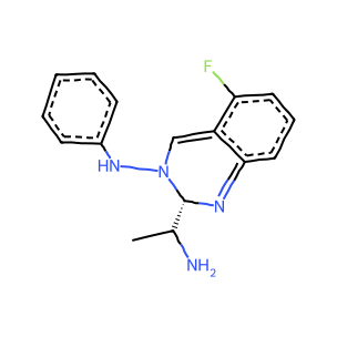 CC(N)[C@H]1N=c2cccc(F)c2=CN1Nc1ccccc1